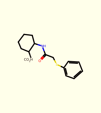 O=C(CSc1ccccc1)NC1CCCCC1C(=O)O